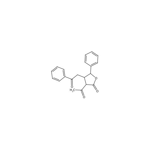 CC(=O)C1C(=O)OC(c2ccccc2)C1CC(=O)c1ccccc1